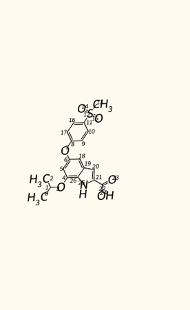 CC(C)Oc1cc(Oc2ccc(S(C)(=O)=O)cc2)cc2cc(C(=O)O)[nH]c12